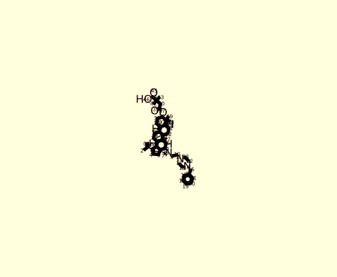 C=C(C)[C@@H]1CC[C@]2(CNCCN3CCN(Cc4ccccc4)CC3)CC[C@]3(C)[C@H](CC[C@@H]4[C@@]5(C)CC[C@H](OC(=O)CC(C)(C)C(=O)O)C(C)(C)[C@@H]5CC[C@]43C)[C@@H]12